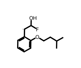 CC(C)CCOc1ccccc1[CH]C(O)F